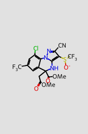 COC(=O)CC1(C(=O)OC)Nc2c([S+]([O-])C(F)(F)F)c(C#N)nn2-c2c(Cl)cc(C(F)(F)F)cc21